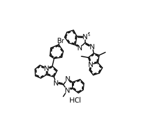 C[N+]1=c2ccccc2=NC1=Nc1cc(-c2ccc(Br)cc2)n2ccccc12.Cc1c(N=C2N=c3ccccc3=[N+]2C)c(C)n2ccccc12.Cl